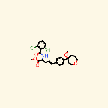 COC(=O)C(CC=Cc1ccc(C2(OC)CCCOCC2)cc1)NC(=O)c1c(Cl)cccc1Cl